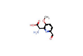 COc1ccc(C=O)nc1[C@H](N)C(=O)O